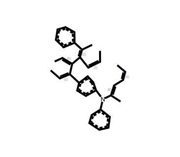 C/C=C\C=C(/C)N(c1ccccc1)c1ccc(C(=C/C)/C(=C\C)C(/C=C\C)=C(/C)c2ccccc2)cc1